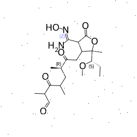 CC[C@H](OC)C1(C)OC(=O)C(/C(N)=N/O)C1CC(=O)[C@H](C)CC(C)C(=O)C(C)C=O